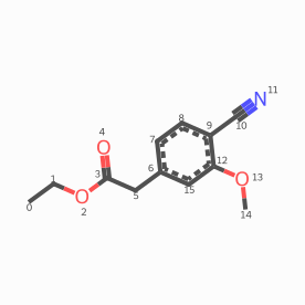 CCOC(=O)Cc1ccc(C#N)c(OC)c1